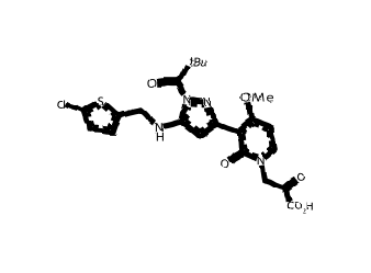 COc1ccn(CC(=O)C(=O)O)c(=O)c1-c1cc(NCc2ccc(Cl)s2)n(C(=O)C(C)(C)C)n1